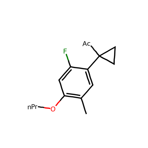 CCCOc1cc(F)c(C2(C(C)=O)CC2)cc1C